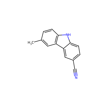 Cc1ccc2[nH]c3ccc(C#N)cc3c2c1